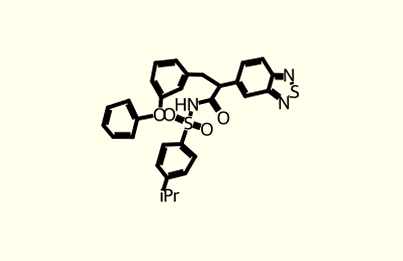 CC(C)c1ccc(S(=O)(=O)NC(=O)C(Cc2cccc(Oc3ccccc3)c2)c2ccc3nsnc3c2)cc1